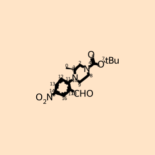 C[C@H]1CN(C(=O)OC(C)(C)C)CCN1c1ccc([N+](=O)[O-])cc1C=O